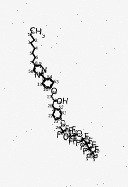 CCCCCCCCc1cnc(-c2ccc(OCC(O)Cc3ccc(OCC(F)(F)OC(F)(F)C(F)(F)OC(F)(F)C(F)(F)C(F)(F)C(F)(F)F)cc3)cc2)nc1